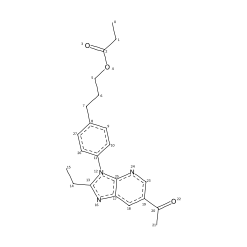 CCC(=O)OCCCc1ccc(-n2c(CC)nc3cc(C(C)=O)cnc32)cc1